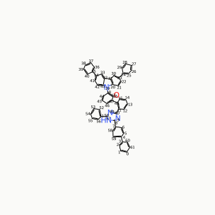 c1ccc(-c2ccc(C3=NC(c4cccc5oc6c(-n7c8ccc(-c9ccccc9)cc8c8cc(-c9ccccc9)ccc87)cccc6c45)=NC(c4ccccc4)N3)cc2)cc1